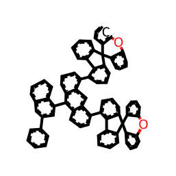 c1ccc(-c2cc(-c3c4cccc(-c5cccc6c5-c5ccccc5C65c6ccccc6Oc6ccccc65)c4cc4c(-c5cccc6c5-c5ccccc5C65c6ccccc6Oc6ccccc65)cccc34)c3ccccc3c2)cc1